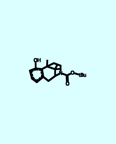 CC(C)(C)OC(=O)N1CCC2(C)c3c(O)cccc3CC1C2(C)C